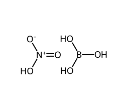 O=[N+]([O-])O.OB(O)O